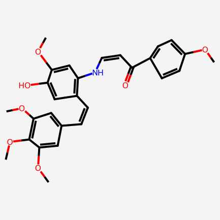 COc1ccc(C(=O)/C=C\Nc2cc(OC)c(O)cc2/C=C\c2cc(OC)c(OC)c(OC)c2)cc1